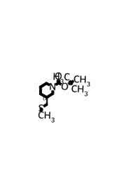 CSC[C@H]1CCCN(C(=O)OC(C)(C)C)C1